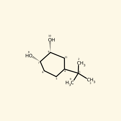 CC(C)(C)C1CC[C@H](O)[C@H](O)C1